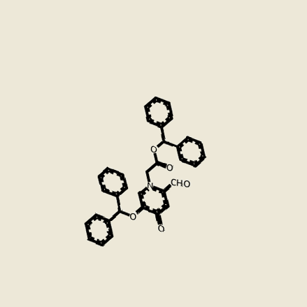 O=Cc1cc(=O)c(OC(c2ccccc2)c2ccccc2)cn1CC(=O)OC(c1ccccc1)c1ccccc1